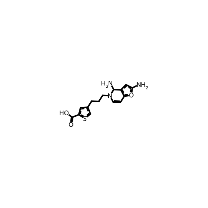 Nc1cc2c(o1)C=CN(CCCc1csc(C(=O)O)c1)C2N